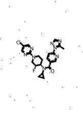 Cc1ncnn1-c1ccc(C(=O)N(C2CC2)[C@@H]2CCN(c3ncc(Cl)cn3)C[C@@H]2F)cn1